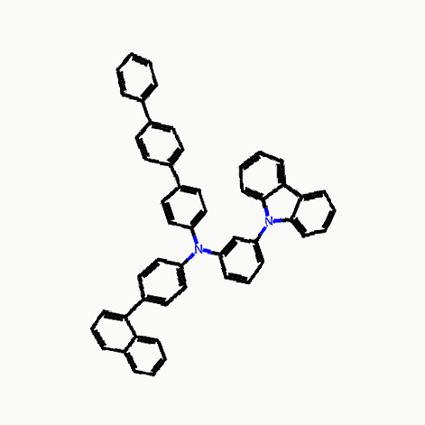 c1ccc(-c2ccc(-c3ccc(N(c4ccc(-c5cccc6ccccc56)cc4)c4cccc(-n5c6ccccc6c6ccccc65)c4)cc3)cc2)cc1